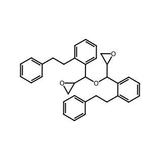 c1ccc(CCc2ccccc2C(OC(c2ccccc2CCc2ccccc2)C2CO2)C2CO2)cc1